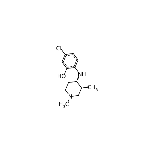 C[C@H]1CN(C)CC[C@H]1Nc1ccc(Cl)cc1O